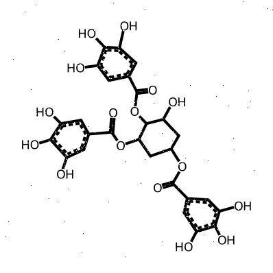 O=C(OC1CC(O)C(OC(=O)c2cc(O)c(O)c(O)c2)C(OC(=O)c2cc(O)c(O)c(O)c2)C1)c1cc(O)c(O)c(O)c1